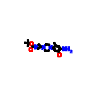 COc1cc(N2CCN(C3CN(C(=O)OC(C)(C)C)C3)CC2)c(C)cc1N